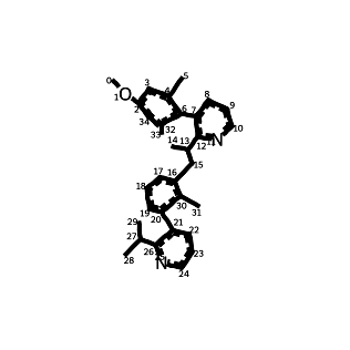 COc1cc(C)c(-c2cccnc2C(C)Cc2cccc(-c3cccnc3C(C)C)c2C)c(C)c1